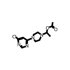 CC(=O)OC(C)N1CCN(c2cc(Cl)ncn2)CC1